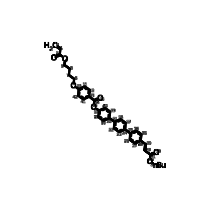 C=CC(=O)OCCCCOc1ccc(C(=O)Oc2ccc(-c3ccc(-c4ccc(/C=C/C(=O)OCCCC)cc4)cc3)cc2)cc1